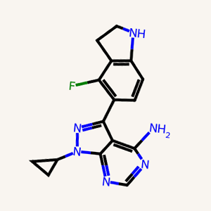 Nc1ncnc2c1c(-c1ccc3c(c1F)CCN3)nn2C1CC1